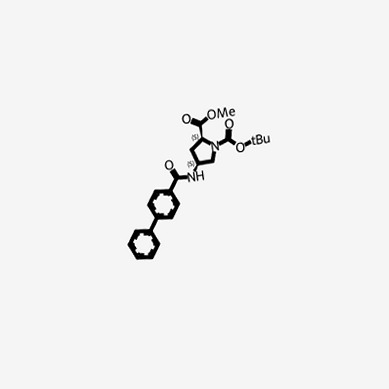 COC(=O)[C@@H]1C[C@H](NC(=O)c2ccc(-c3ccccc3)cc2)CN1C(=O)OC(C)(C)C